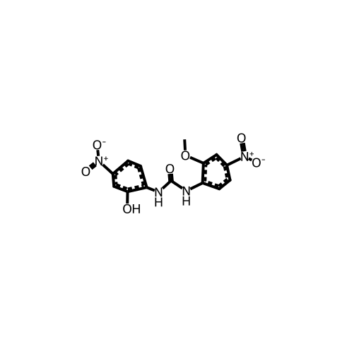 COc1cc([N+](=O)[O-])ccc1NC(=O)Nc1ccc([N+](=O)[O-])cc1O